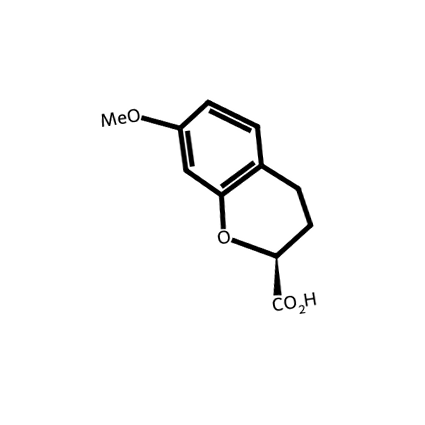 COc1ccc2c(c1)O[C@H](C(=O)O)CC2